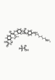 NCCCCCCNc1ccc(NC(=O)c2ccc(CN(C(=O)c3ccc4c(c3)OCC(=O)N4)C3CC3)cc2)cc1.O=C(O)C(F)(F)F